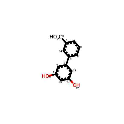 O=C(O)c1cccc(-c2cc(O)cc(O)c2)c1